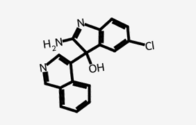 NC1=Nc2ccc(Cl)cc2C1(O)c1cncc2ccccc12